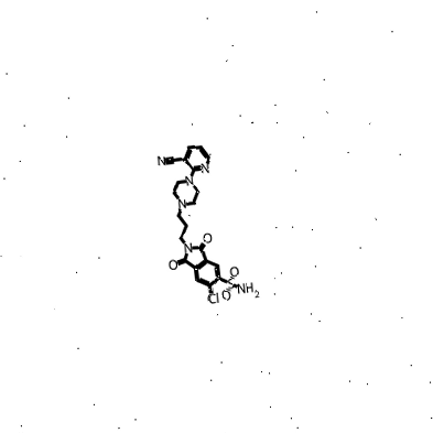 N#Cc1cccnc1N1CCN(CCCN2C(=O)c3cc(Cl)c(S(N)(=O)=O)cc3C2=O)CC1